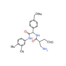 COCc1ccc(C(NC(=O)C(CN)CC=O)C(=O)Nc2ccc(C(C)(C)C)c(C#N)c2)cc1